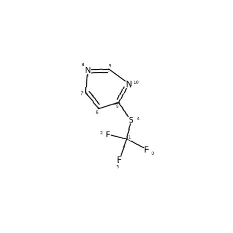 FC(F)(F)Sc1ccn[c]n1